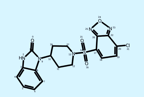 O=c1[nH]c2ccccc2n1C1CCN(S(=O)(=O)c2ccc(Cl)c3nonc23)CC1